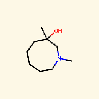 CN1CCCCCC(C)(O)C1